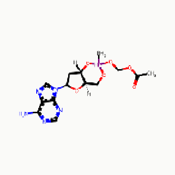 B[PH]1(OCOC(C)=O)OC[C@H]2O[C@@H](n3cnc4c(N)ncnc43)C[C@@H]2O1